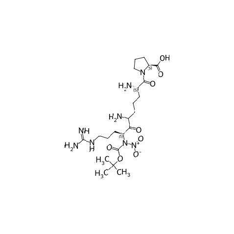 CC(C)(C)OC(=O)N([C@@H](CCCNC(=N)N)C(=O)C(N)CCC[C@H](N)C(=O)N1CCC[C@H]1C(=O)O)[N+](=O)[O-]